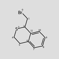 BrCC1SCCc2ccccc21